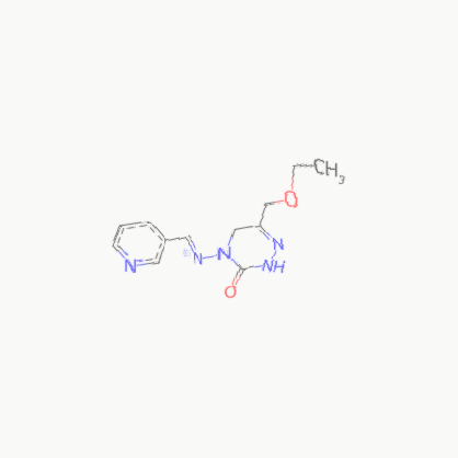 CCOCC1=NNC(=O)N(/N=C/c2cccnc2)C1